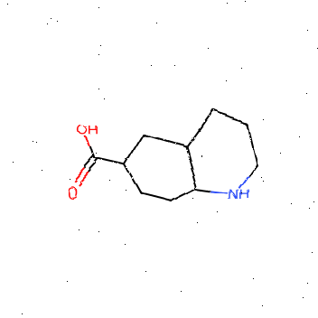 O=C(O)C1CCC2NCCCC2C1